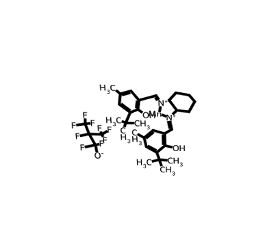 Cc1cc(C=[N+]2[Mn][N+](=Cc3cc(C)cc(C(C)(C)C)c3O)C3CCCCC32)c(O)c(C(C)(C)C)c1.[O-]C(F)(F)C(F)(C(F)(F)F)C(F)(F)F